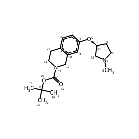 CN1CC[C@H](Oc2ccc3c(c2)CN(C(=O)OC(C)(C)C)CC3)C1